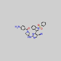 N#Cc1cnc(N[C@@H]2CCN(C(=O)c3ccc(N)cc3)C2)nc1-c1cn(S(=O)(=O)c2ccccc2)c2ccccc12